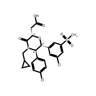 CS(=O)(=O)c1cc(Cl)cc([C@H]2O[C@@H](CC(=O)O)C(=O)N(CC3CC3)[C@@H]2c2ccc(Cl)cc2)c1